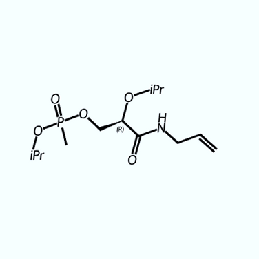 C=CCNC(=O)[C@@H](COP(C)(=O)OC(C)C)OC(C)C